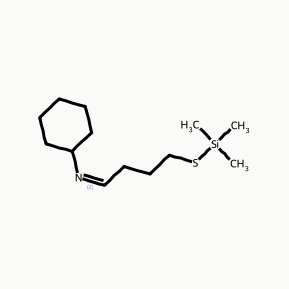 C[Si](C)(C)SCCC/C=N\C1CCCCC1